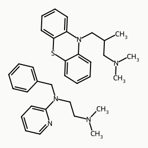 CC(CN(C)C)CN1c2ccccc2Sc2ccccc21.CN(C)CCN(Cc1ccccc1)c1ccccn1